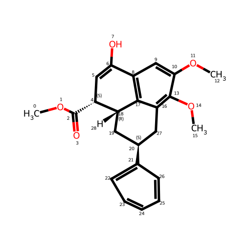 COC(=O)[C@@H]1C=C(O)c2cc(OC)c(OC)c3c2[C@@H]1C[C@H](c1ccccc1)C3